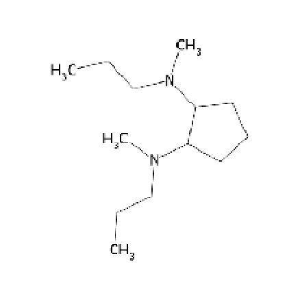 CCCN(C)C1CCCC1N(C)CCC